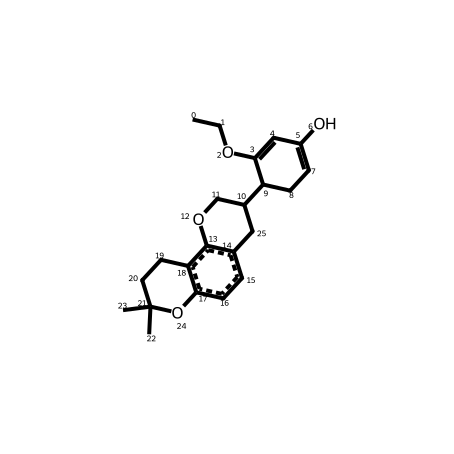 CCOC1=CC(O)=CCC1C1COc2c(ccc3c2CCC(C)(C)O3)C1